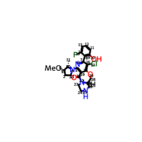 CO[C@H]1CCN(c2nc(-c3c(O)cccc3F)c(Cl)c3c2C(=O)N2CCNC[C@@H]2CO3)[C@H]1C